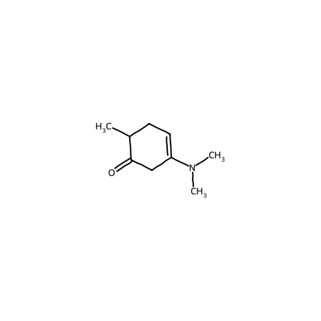 CC1CC=C(N(C)C)CC1=O